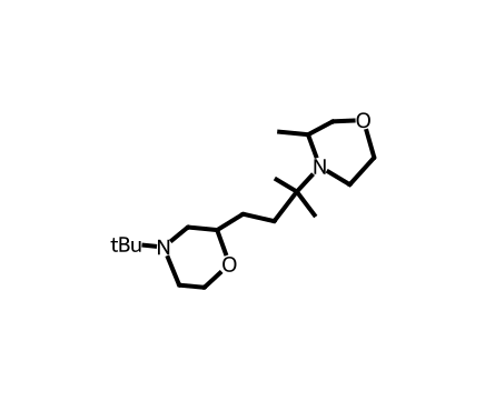 CC1COCCN1C(C)(C)CCC1CN(C(C)(C)C)CCO1